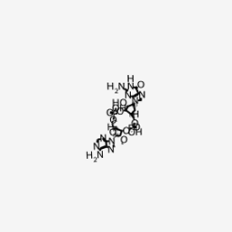 COC1C2OP(=O)(O)OC[C@H]3C[C@@H](n4cnc5c(=O)[nH]c(N)nc54)C(O)C3OP(=O)(O)OC[C@H]2O[C@H]1n1cnc2c(N)ncnc21